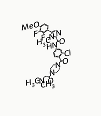 COc1ccc(-c2cnc(C(=O)Nc3ccc(C(=O)N4CCN(C(=O)CN(C)C)CC4)c(Cl)c3)n2C)c(F)c1F